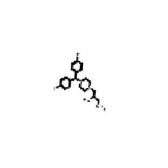 NCC(O)CN1CCN(C(c2ccc(F)cc2)c2ccc(F)cc2)CC1